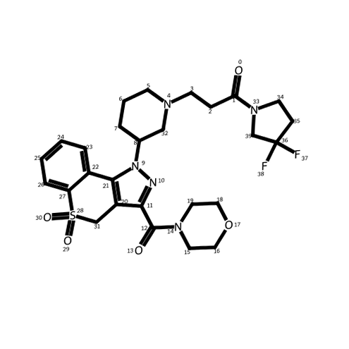 O=C(CCN1CCCC(n2nc(C(=O)N3CCOCC3)c3c2-c2ccccc2S(=O)(=O)C3)C1)N1CCC(F)(F)C1